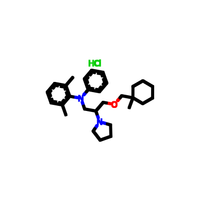 Cc1cccc(C)c1N(CC(COCC1(C)CCCCC1)N1CCCC1)c1ccccc1.Cl